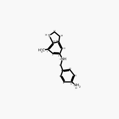 Cc1cc(NCc2ccc(N)cc2)cc2c1SCC2